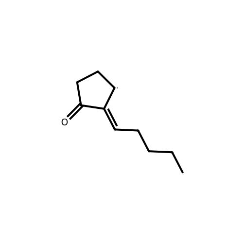 CCCC/C=C1\[CH]CCC1=O